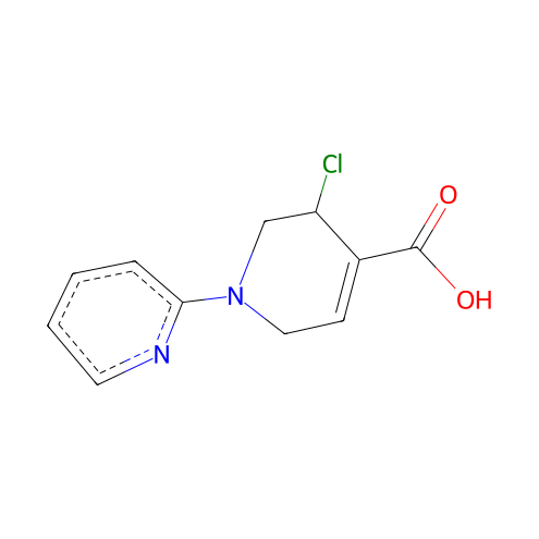 O=C(O)C1=CCN(c2ccccn2)CC1Cl